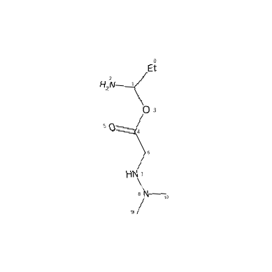 CCC(N)OC(=O)CNN(C)C